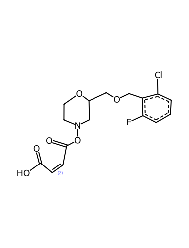 O=C(O)/C=C\C(=O)ON1CCOC(COCc2c(F)cccc2Cl)C1